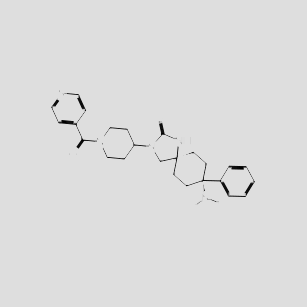 CN(C)[C@]1(c2ccccc2)CC[C@@]2(CC1)CN(C1CCN(C(=O)c3ccncc3)CC1)C(=O)N2